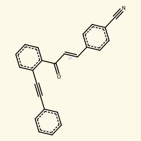 N#Cc1ccc(/C=C/C(=O)c2ccccc2C#Cc2ccccc2)cc1